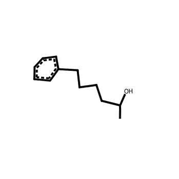 CC(O)CCCCc1ccccc1